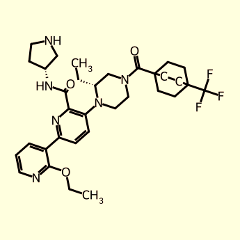 CCOc1ncccc1-c1ccc(N2CCN(C(=O)C34CCC(C(F)(F)F)(CC3)CC4)C[C@H]2CC)c(C(=O)N[C@@H]2CCNC2)n1